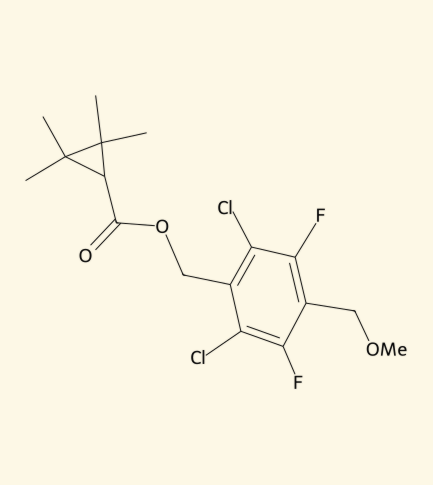 COCc1c(F)c(Cl)c(COC(=O)C2C(C)(C)C2(C)C)c(Cl)c1F